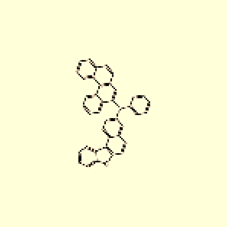 c1ccc(N(c2ccc3c(ccc4oc5ccccc5c43)c2)c2cc3ccc4ccccc4c3c3ccccc23)cc1